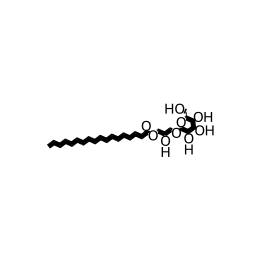 CCCCCCCCCCCCCCCCCC(=O)OCC(O)CO[C@@H]1O[C@H](CO)[C@H](O)[C@H](O)[C@H]1O